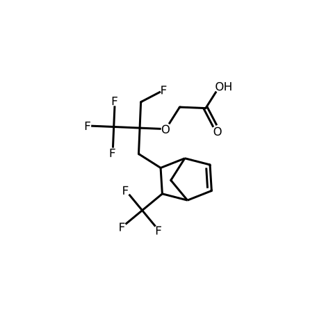 O=C(O)COC(CF)(CC1C2C=CC(C2)C1C(F)(F)F)C(F)(F)F